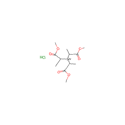 COC(=O)[CH](C)[Sn]([CH](C)C(=O)OC)[CH](C)C(=O)OC.Cl